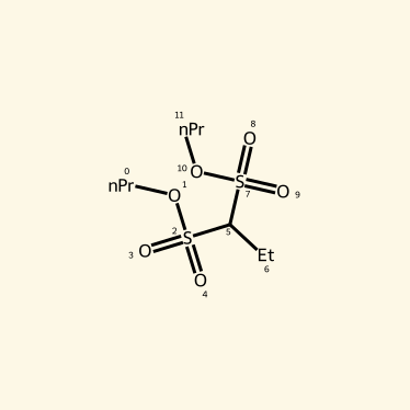 CCCOS(=O)(=O)C(CC)S(=O)(=O)OCCC